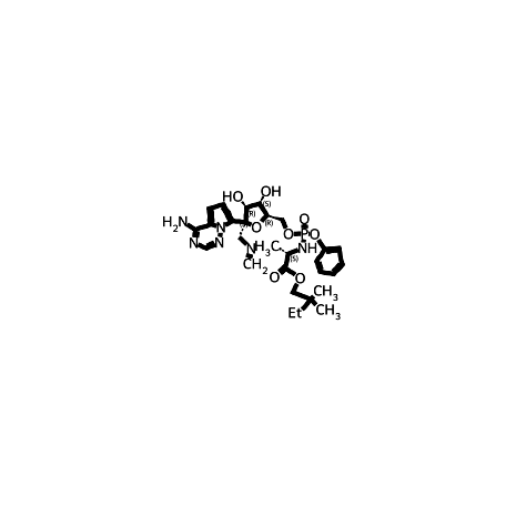 C=NC[C@@]1(c2ccc3c(N)ncnn23)O[C@H](COP(=O)(N[C@@H](C)C(=O)OCC(C)(C)CC)Oc2ccccc2)[C@@H](O)[C@H]1O